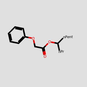 CCCCCC(CCC)OC(=O)COc1ccccc1